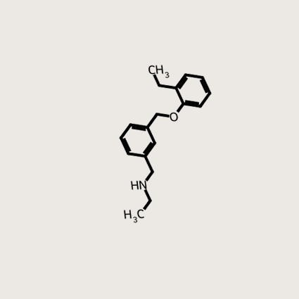 CCNCc1cccc(COc2ccccc2CC)c1